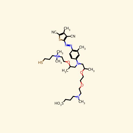 Cc1cc(N(CC(C)OCCOCCN(C)CCCS(=O)(=O)O)CC(C)OCC[N+](C)(C)CCCS)ccc1/N=N/c1sc(C#N)c(C)c1C#N